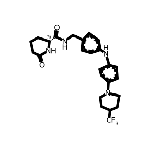 O=C1CCC[C@H](C(=O)NCc2ccc(Nc3ccc(N4CCC(C(F)(F)F)CC4)cc3)cc2)N1